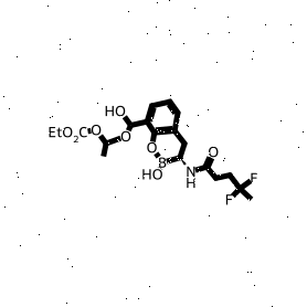 CCOC(=O)OC(C)OC(O)c1cccc2c1OB(O)[C@@H](NC(=O)CCC(C)(F)F)C2